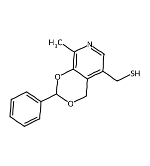 Cc1ncc(CS)c2c1OC(c1ccccc1)OC2